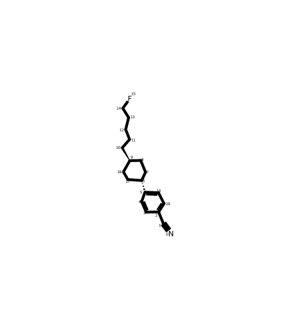 N#Cc1ccc([C@H]2CC[C@H](CCCCCF)CC2)cc1